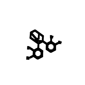 Brc1cccc(C2C3CC4CC(C3)CC2(c2cccc(Br)c2Br)C4)c1Br